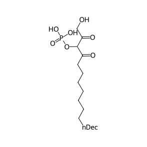 CCCCCCCCCCCCCCCCCC(=O)C(OP(=O)(O)O)C(=O)CO